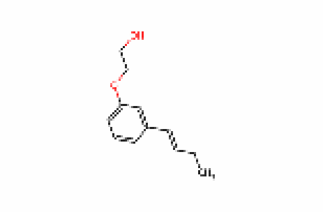 CC/C=C/c1cccc(OCCO)c1